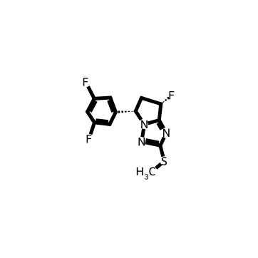 CSc1nc2n(n1)[C@H](c1cc(F)cc(F)c1)C[C@@H]2F